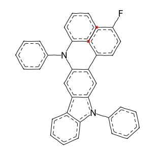 Fc1ccc(-c2cc3c(cc2N(c2ccccc2)c2ccccc2)c2ccccc2n3-c2ccccc2)cc1